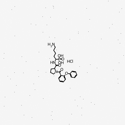 Cl.NCCCCC(NC(=O)C1CCCN1C(=O)c1ccccc1Oc1ccccc1)P(=O)(O)O